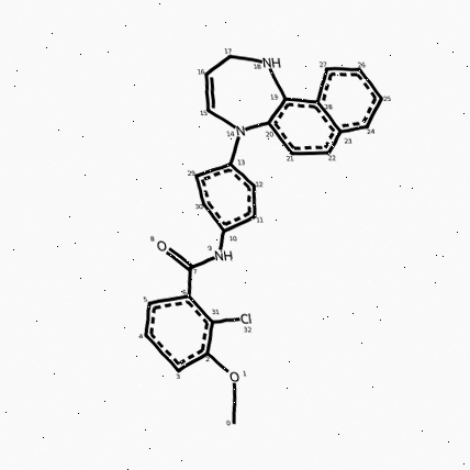 COc1cccc(C(=O)Nc2ccc(N3C=CCNc4c3ccc3ccccc43)cc2)c1Cl